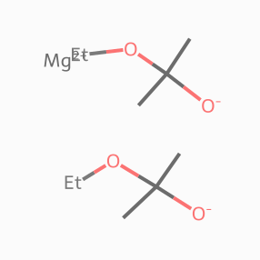 CCOC(C)(C)[O-].CCOC(C)(C)[O-].[Mg+2]